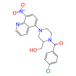 O=C(c1ccc(Cl)cc1)N1CCN(c2ccc([N+](=O)[O-])c3ncccc23)CC1CO